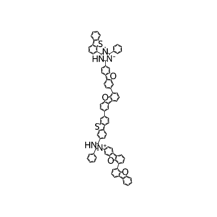 CN1C(c2ccccc2)[N-]C(c2ccc3c(c2)oc2cc(-c4cccc5c4oc4ccc(-c6ccc7c(c6)sc6cc(C8NC(c9ccccc9)=[N+]8c8ccc9c(c8)oc8c(-c%10cccc%11c%10oc%10ccccc%10%11)cccc89)ccc67)cc45)ccc23)NC1c1cccc2c1sc1ccccc12